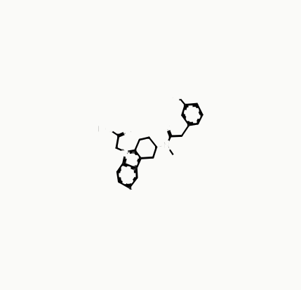 CN(C(=O)Cc1cccc(Cl)c1)[C@H]1CCc2c(c3cc(F)ccc3n2CC(=O)O)C1